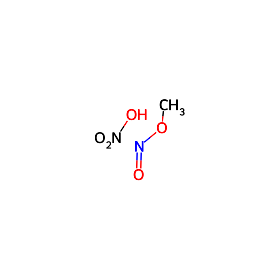 CON=O.O=[N+]([O-])O